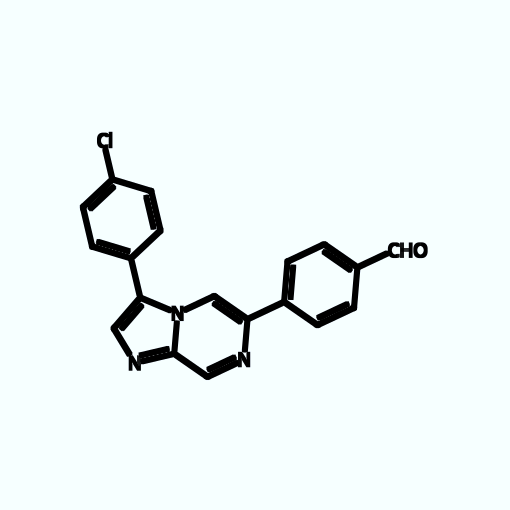 O=Cc1ccc(-c2cn3c(-c4ccc(Cl)cc4)cnc3cn2)cc1